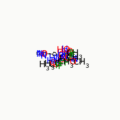 COC(=O)N[C@H](C(=O)N[C@@H](Cc1ccc(C#Cc2ccc(N3CC4CCC(C3)N4C3COC3)nc2)cc1)[C@@H](O)CN(Cc1c(F)cc(-c2nnc(C)o2)cc1F)NC(=O)[C@@H](NC(=O)O)C(C)(C)C(F)(F)F)C(C)(C)C(F)(F)F